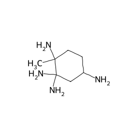 CC1(N)CCC(N)CC1(N)N